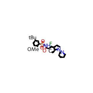 COc1ccc(C(C)(C)C)cc1S(=O)(=O)NC(=O)c1ccc2c(ccn2-c2ccccn2)c1F